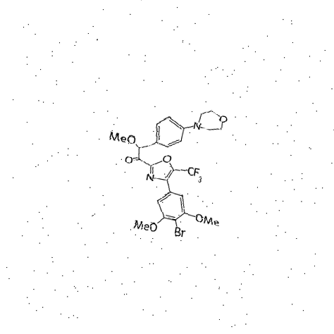 COc1cc(-c2nc(C(=O)C(OC)c3ccc(N4CCOCC4)cc3)oc2C(F)(F)F)cc(OC)c1Br